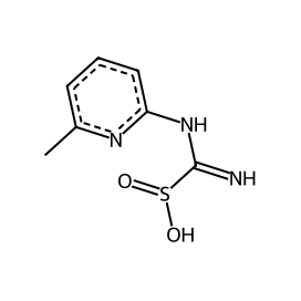 Cc1cccc(NC(=N)S(=O)O)n1